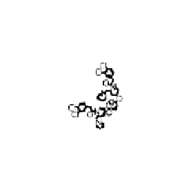 O=C(/C=C\C(=O)OC1CCN(C(=O)Cc2ccc(Cl)c(Cl)c2)C(CN2CCCC2)C1)OC1CCN(C(=O)Cc2ccc(Cl)c(Cl)c2)C(CN2CCCC2)C1